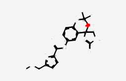 COCc1ccc(C(=O)Nc2ccc3c(c2)C2(COC(N)=N2)C2(COC2)C(C)(C)O3)s1